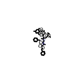 C/C(C(=O)OCc1ccccc1)=C(\C=C(/C)N(Cc1nccn1C)C(=O)CN(C)S(=O)(=O)c1c(C)cc(C)cc1C)OCc1ccccc1